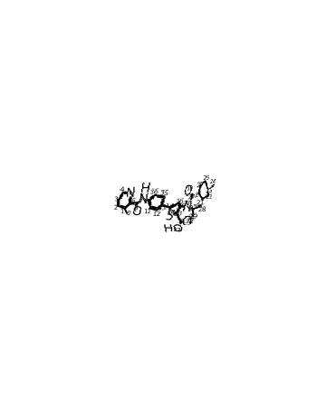 Cc1cccnc1C(=O)Nc1ccc(-c2cc(N(C(=O)[C@H]3CC[C@H](C)CC3)C(C)C)c(C(=O)O)s2)cc1